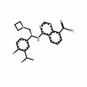 NC(=O)c1cccc2c(N[C@H](CN3CCC3)c3ccc(F)c(C(F)F)c3)ncnc12